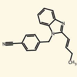 CCC=Cc1nc2ccccc2n1Cc1ccc(C#N)cc1